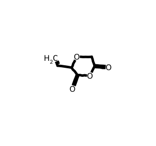 C=CC1OCC(=O)OC1=O